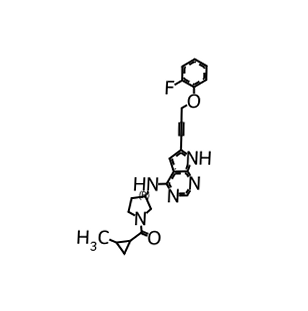 CC1CC1C(=O)N1CC[C@@H](Nc2ncnc3[nH]c(C#CCOc4ccccc4F)cc23)C1